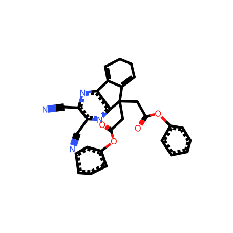 N#Cc1nc2c(nc1C#N)C(CC(=O)Oc1ccccc1)(CC(=O)Oc1ccccc1)C1=CCCC=C12